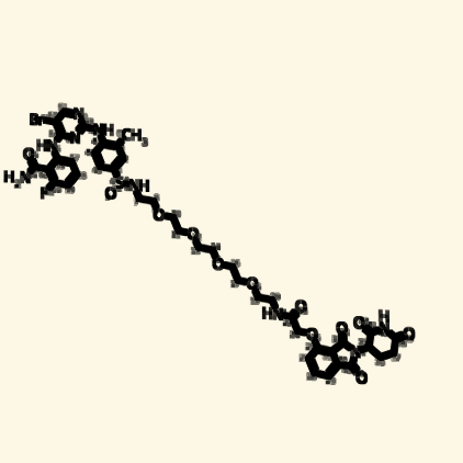 Cc1cc([S+]([O-])NCCOCCOCCOCCOCCNC(=O)COc2cccc3c2C(=O)N(C2CCC(=O)NC2=O)C3=O)ccc1Nc1ncc(Br)c(Nc2cccc(F)c2C(N)=O)n1